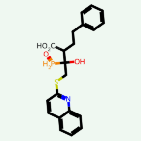 O=[PH2]C(O)(CSc1ccc2ccccc2n1)C(CCc1ccccc1)C(=O)O